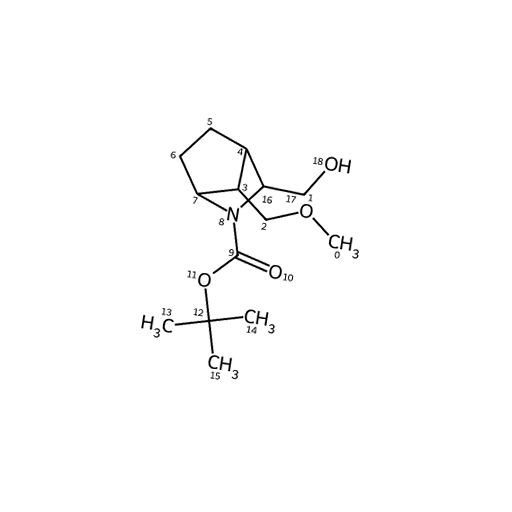 COCC1C2CCC1N(C(=O)OC(C)(C)C)C2CO